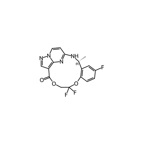 C[C@H]1Nc2ccn3ncc(c3n2)C(=O)OCC(F)(F)Oc2ccc(F)cc21